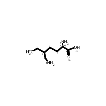 CCC(CN)CC[C@H](N)C(=O)O